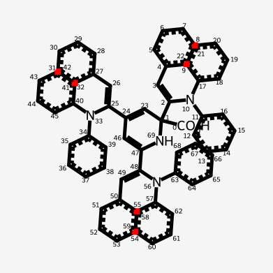 O=C(O)C1(C(=Cc2ccccc2)N(c2ccccc2)c2ccccc2)C=C(C(=Cc2ccccc2)N(c2ccccc2)c2ccccc2)C=C(C(=Cc2ccccc2)N(c2ccccc2)c2ccccc2)N1